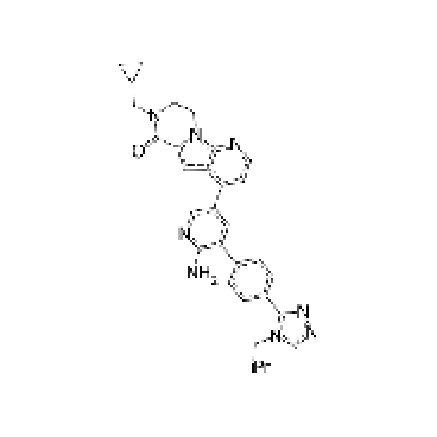 CC(C)Cn1cnnc1-c1ccc(-c2cc(-c3ccnc4c3cc3n4CCN(CC4CC4)C3=O)cnc2N)cc1